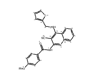 COc1ccc(C(=O)Nc2nc3ccccc3c(NCc3cccs3)c2C#N)cc1